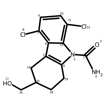 NC(=O)n1c2c(c3c(Cl)ccc(Cl)c31)C[C](CO)CC2